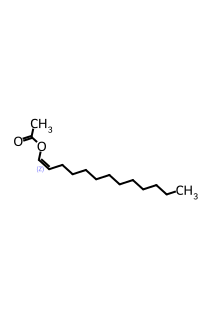 CCCCCCCCCCC/C=C\OC(C)=O